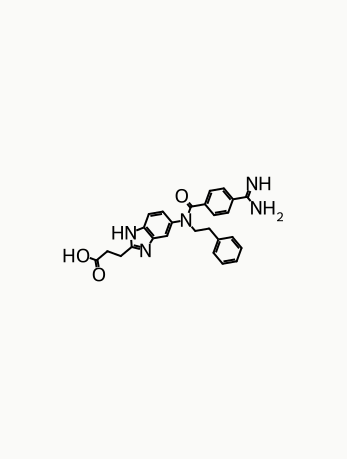 N=C(N)c1ccc(C(=O)N(CCc2ccccc2)c2ccc3[nH]c(CCC(=O)O)nc3c2)cc1